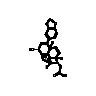 O=C(O)C[C@@H]1[C@H]2C=C[C@H]3C(c4ccc5c(c4)OCO5)=C[C@@H](O)C45C[C@H]1[C@@H]2[C@@]34C5